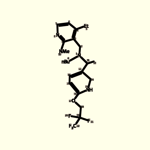 CCCCN(Cc1c(CC)ccnc1NC)C(C)C1=CC=C(OCC(F)(F)C(F)(F)F)NC1